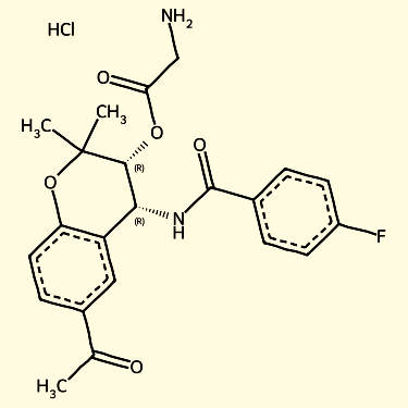 CC(=O)c1ccc2c(c1)[C@@H](NC(=O)c1ccc(F)cc1)[C@@H](OC(=O)CN)C(C)(C)O2.Cl